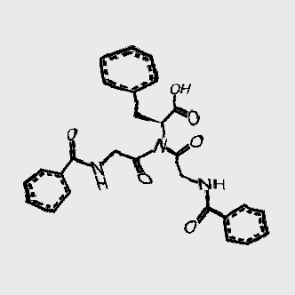 O=C(NCC(=O)N(C(=O)CNC(=O)c1ccccc1)[C@@H](Cc1ccccc1)C(=O)O)c1ccccc1